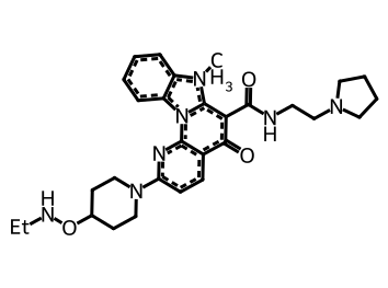 CCNOC1CCN(c2ccc3c(=O)c(C(=O)NCCN4CCCC4)c4n(C)c5ccccc5n4c3n2)CC1